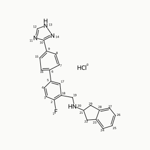 Cl.Fc1ccc(-c2ccc(-c3nc[nH]n3)cc2)cc1CNC1Cc2ccccc2C1